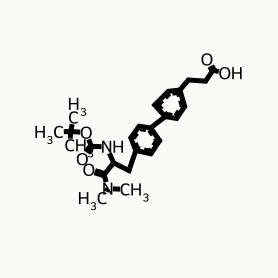 CN(C)C(=O)C(Cc1ccc(-c2ccc(CCC(=O)O)cc2)cc1)NC(=O)OC(C)(C)C